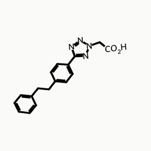 O=C(O)Cn1nnc(-c2ccc(CCc3ccccc3)cc2)n1